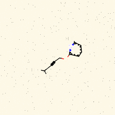 Cc1cccc(OCC#CC(C)C)n1